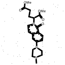 COC(=O)CCC(C(=O)OC)n1ccc2cc(N3CCN(C)CC3)ccc2c1=O